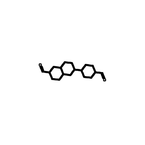 O=CC1CCC(C2CCC3CC(C=O)CCC3C2)CC1